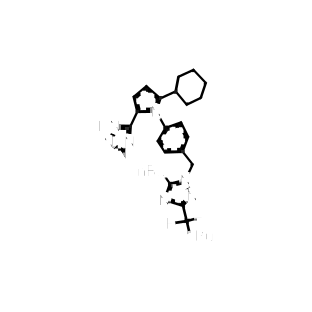 CCCCc1nc(C(F)(F)CCCC)nn1Cc1ccc(-n2c(-c3nnn[nH]3)ccc2C2CCCCC2)cc1